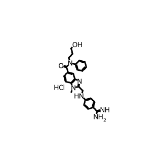 Cl.Cn1c(CNc2ccc(C(=N)N)cc2)nc2cc(C(=O)N(CCCO)c3ccccc3)ccc21